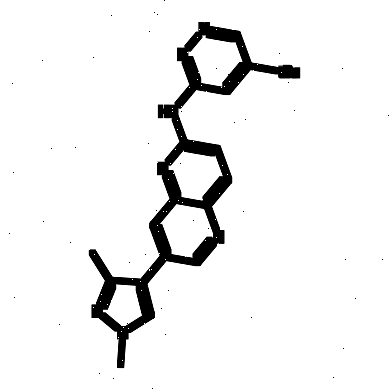 Cc1nn(C)cc1-c1cnc2ccc(Nc3cc(C(C)(C)C)cnn3)nc2c1